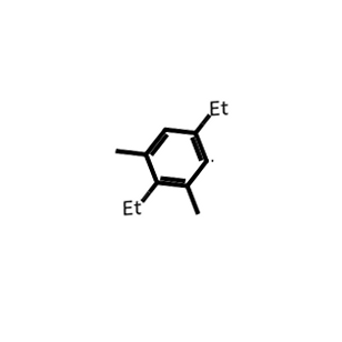 CCc1[c]c(C)c(CC)c(C)c1